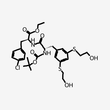 CCOC(=O)[C@H](Cc1ccc(Cl)cc1)NC(=O)[C@H](Cc1cc(SCCO)cc(SCCO)c1)NC(=O)OC(C)(C)C